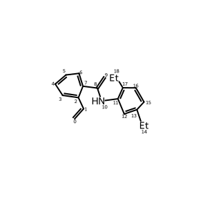 C=Cc1ccccc1C(=C)Nc1cc(CC)ccc1CC